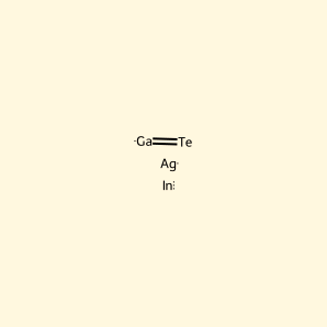 [Ag].[Ga]=[Te].[In]